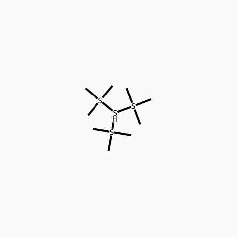 CS(C)(C)[SH](S(C)(C)C)S(C)(C)C